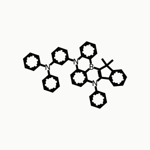 CC1(C)C2=C(c3ccccc31)N(c1ccccc1)c1cccc3c1B2c1ccccc1N3c1cccc(N(c2ccccc2)c2ccccc2)c1